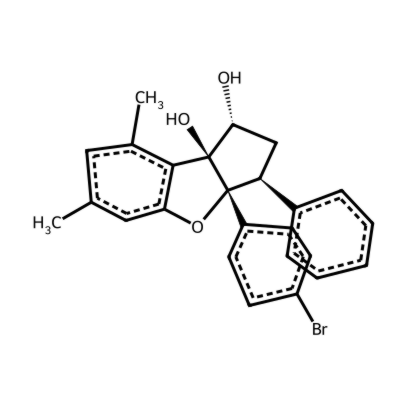 Cc1cc(C)c2c(c1)O[C@@]1(c3ccc(Br)cc3)[C@H](c3ccccc3)C[C@@H](O)[C@@]21O